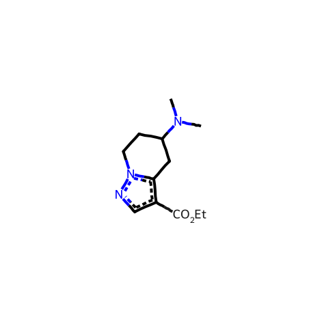 CCOC(=O)c1cnn2c1CC(N(C)C)CC2